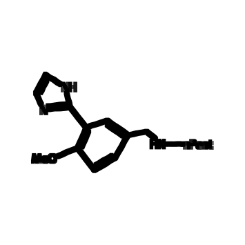 CCCCCNCc1ccc(OC)c(-c2ncc[nH]2)c1